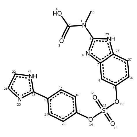 CN(C(=O)O)c1nc2cc(OS(=O)(=O)Oc3ccc(-c4ncc[nH]4)cc3)ccc2[nH]1